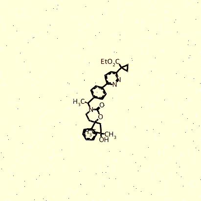 CCOC(=O)C1(c2ccc(-c3ccc([C@H](C)N4CCC(CC(C)(C)O)(c5ccccc5)OC4=O)cc3)nn2)CC1